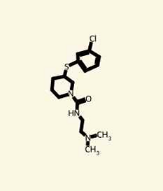 CN(C)CCNC(=O)N1CCCC(Sc2cccc(Cl)c2)C1